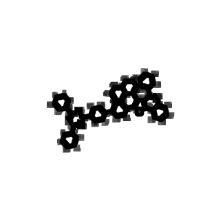 c1ccc(-c2nc(-c3ccccc3)nc(-c3ccc(-c4ccc(-c5oc6c(c(-c7ccccc7)nc7ccccc76)c5-c5cccc6ccccc56)cc4)cc3)n2)cc1